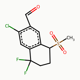 CS(=O)(=O)C1CCC(F)(F)c2cc(Cl)c(C=O)cc21